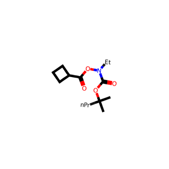 CCCC(C)(C)OC(=O)N(CC)OC(=O)C1CCC1